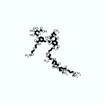 C=C1C[C@H]2C(O)N(C(=O)OCc3ccc(O[C@@H]4O[C@H](C(=O)O)[C@@H](O)[C@H](O)[C@H]4O)c(C(=O)NCCOCCON)c3)c3cc(OCCCn4cc(C(=C)Nc5cc(C(=O)Nc6cc(C(=O)NCCCN(C)C)n(C)c6)n(C)c5)nn4)c(OC)cc3C(=O)N2C1